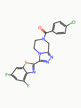 O=C(c1ccc(Cl)cc1)N1CCn2c(nnc2-c2nc3c(F)cc(F)cc3s2)C1